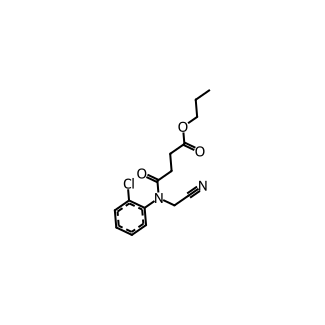 CCCOC(=O)CCC(=O)N(CC#N)c1ccccc1Cl